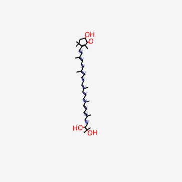 CC1=C(/C=C/C(C)=C/C=C/C(C)=C/C=C/C=C(C)/C=C/C=C(C)/C=C/C=C(C)/C=C/C(O)C(C)(C)O)C(C)(C)CC(O)C1=O